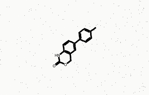 Cc1ccc(-c2ccc3c(c2)COC(=O)N3)cc1